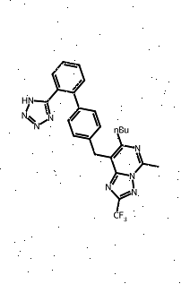 CCCCc1nc(C)n2nc(C(F)(F)F)nc2c1Cc1ccc(-c2ccccc2-c2nnn[nH]2)cc1